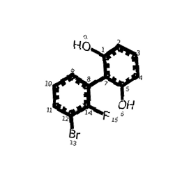 Oc1cccc(O)c1-c1cccc(Br)c1F